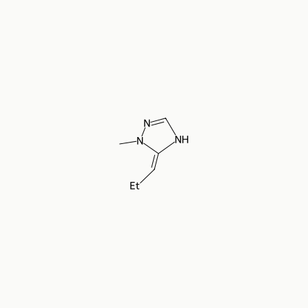 CC/C=C1/NC=NN1C